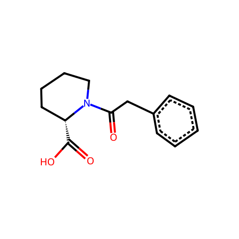 O=C(O)[C@@H]1CCCCN1C(=O)Cc1ccccc1